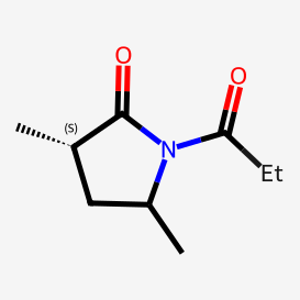 CCC(=O)N1C(=O)[C@@H](C)CC1C